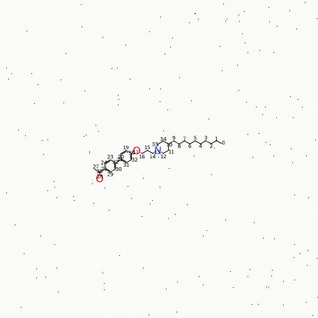 CCCCCCCCCCC1CCN(CCCOc2ccc(-c3ccc(C(C)=O)cc3)cc2)CC1